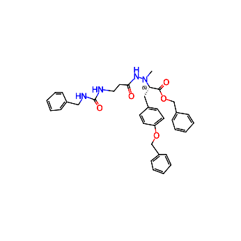 CN(NC(=O)CCNC(=O)NCc1ccccc1)[C@@H](Cc1ccc(OCc2ccccc2)cc1)C(=O)OCc1ccccc1